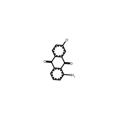 Nc1cccc2c1C(=O)c1cc(Cl)ccc1C2=O